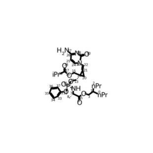 CCCC(CCC)COC(=O)[C@H](C)N[P@](=O)(OC[C@@]1(COC(=O)C(C)C)C/C1=C/n1ccc(N)nc1=O)Oc1ccccc1